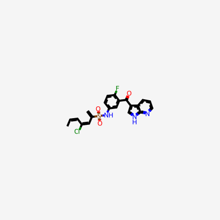 C=C(/C=C(Cl)\C=C/C)S(=O)(=O)Nc1ccc(F)c(C(=O)c2c[nH]c3ncccc23)c1